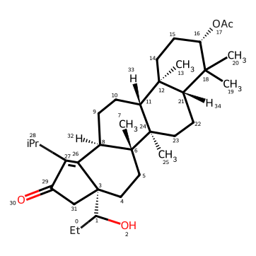 CCC(O)[C@@]12CC[C@]3(C)[C@H](CC[C@@H]4[C@@]5(C)CC[C@H](OC(C)=O)C(C)(C)[C@@H]5CC[C@]43C)C1=C(C(C)C)C(=O)C2